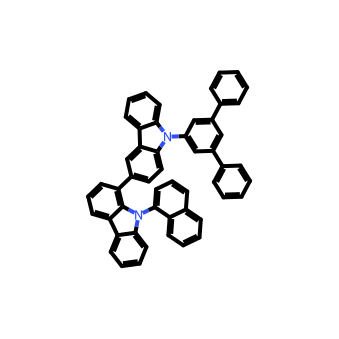 c1ccc(-c2cc(-c3ccccc3)cc(-n3c4ccccc4c4cc(-c5cccc6c7ccccc7n(-c7cccc8ccccc78)c56)ccc43)c2)cc1